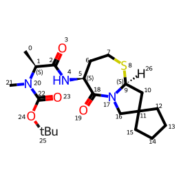 C[C@@H](C(=O)N[C@H]1CCS[C@H]2CC3(CCCC3)CN2C1=O)N(C)C(=O)OC(C)(C)C